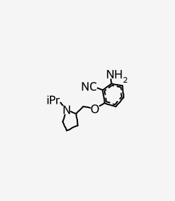 CC(C)N1CCCC1COc1cccc(N)c1C#N